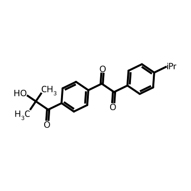 CC(C)c1ccc(C(=O)C(=O)c2ccc(C(=O)C(C)(C)O)cc2)cc1